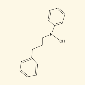 ON(CCCc1ccccc1)c1ccccc1